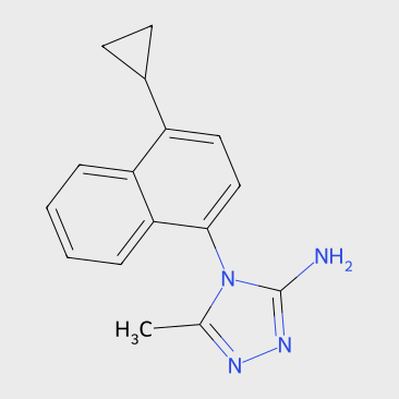 Cc1nnc(N)n1-c1ccc(C2CC2)c2ccccc12